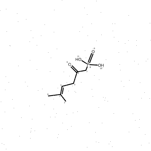 CC(C)=CCC(=O)CP(=O)(O)O